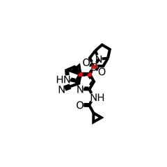 N#CCC1(CS(=O)(=O)N2C3CCC2CN(c2cc(NC(=O)C4CC4)nc4[nH]ccc24)C3)CC1